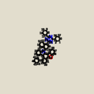 c1ccc(-c2nc(-c3ccccc3)nc(-c3ccc(-n4c5cccc6c5c5c7c(cccc7c7oc8ccccc8c7c54)-c4ccccc4-6)c4ccccc34)n2)cc1